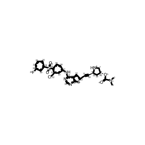 CN(C)C(=O)O[C@H]1CN[C@H](C#Cc2cc3c(Nc4ccc(S(=O)(=O)c5cccc(F)c5)c(Cl)c4)ncnc3s2)C1